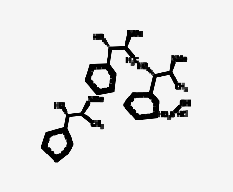 CN[C@@H](C)[C@@H](O)c1ccccc1.CN[C@@H](C)[C@@H](O)c1ccccc1.CN[C@@H](C)[C@@H](O)c1ccccc1.Cl.O=S(=O)(O)O